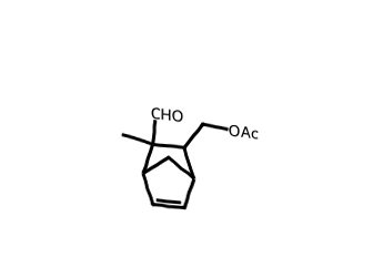 CC(=O)OCC1C2C=CC(C2)C1(C)C=O